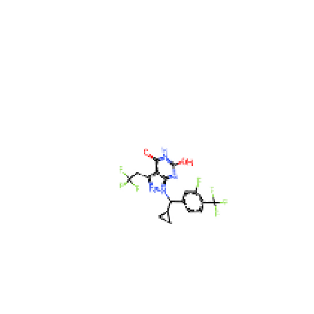 O=c1[nH]c(O)nc2c1c(CC(F)(F)F)nn2C(c1ccc(C(F)(F)F)c(F)c1)C1CC1